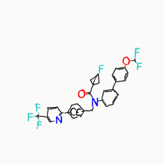 O=C(N(CC12CCC(c3ccc(C(F)(F)F)cn3)(CC1)CC2)c1cccc(-c2ccc(OC(F)F)cc2)c1)C12CC(F)(C1)C2